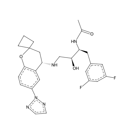 CC(=O)N[C@@H](Cc1cc(F)cc(F)c1)[C@@H](O)CN[C@H]1CC2(CCC2)Oc2ccc(-n3nccn3)cc21